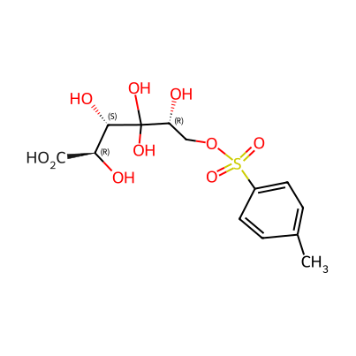 Cc1ccc(S(=O)(=O)OC[C@@H](O)C(O)(O)[C@@H](O)[C@@H](O)C(=O)O)cc1